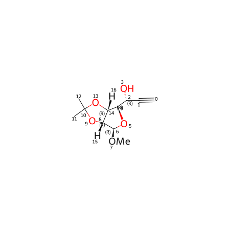 C#C[C@@H](O)[C@H]1O[C@@H](OC)[C@@H]2OC(C)(C)O[C@@H]21